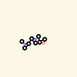 c1ccc(-n2c3ccccc3c3ccc(-c4cccc5c4c4ccccc4n5-c4ccccc4-c4cccc5oc6ccccc6c45)cc32)cc1